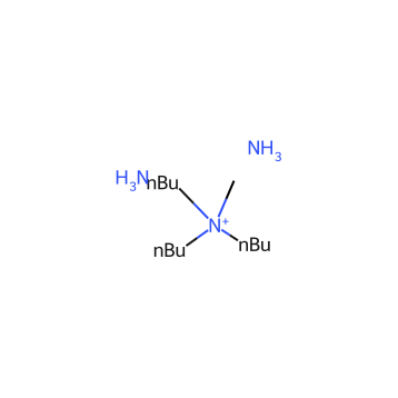 CCCC[N+](C)(CCCC)CCCC.N.N